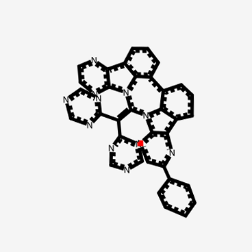 c1ccc(-c2cnc3c(n2)c2cccc4c5cccc6c7nccnc7n(c(=C(c7ncncn7)c7ncncn7)n3c42)c56)cc1